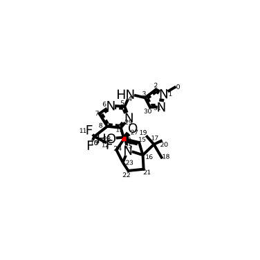 Cn1cc(Nc2ncc(C(F)(F)F)c(C3=CC4(C(C)(C)C)CCC(C3)N4C(=O)O)n2)cn1